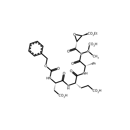 CCOC(=O)[C@@H]1O[C@H]1C(=O)N(C(=O)[C@@H](NC(=O)[C@H](CCC(=O)O)NC(=O)[C@H](CC(=O)O)NC(=O)OCc1ccccc1)C(C)C)N(C)C(=O)O